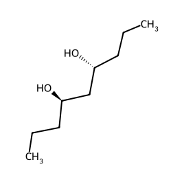 CCC[C@@H](O)C[C@H](O)CCC